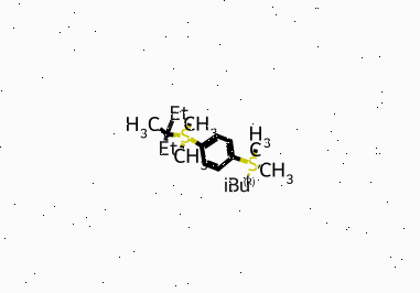 CC[C@@H](C)S(C)(C)c1ccc(S(C)(C)C(C)(CC)CC)cc1